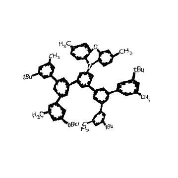 Cc1cc(-c2cc(-c3cc(-c4cc(-c5cc(C)cc(C(C)(C)C)c5)cc(-c5cc(C)cc(C(C)(C)C)c5)c4)cc(N4c5ccc(C)cc5Oc5cc(C)ccc54)c3)cc(-c3cc(C)cc(C(C)(C)C)c3)c2)cc(C(C)(C)C)c1